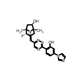 C[C@]12C/C(=C\c3cnc(-c4ccc(-n5ccnc5)cc4O)nn3)[C@H](F)[C@](C)(C[C@H]1O)N2